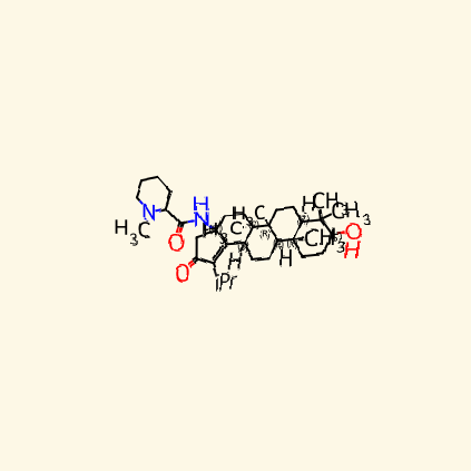 CC(C)C1=C2[C@H]3CC[C@@H]4[C@@]5(C)CC[C@H](O)C(C)(C)[C@@H]5CC[C@@]4(C)[C@]3(C)CC[C@@]2(NC(=O)C2CCCCN2C)CC1=O